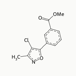 COC(=O)c1cccc(-c2onc(C)c2Cl)c1